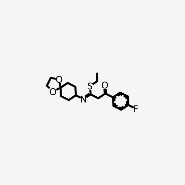 CCS/C(CC(=O)c1ccc(F)cc1)=N\C1CCC2(CC1)OCCO2